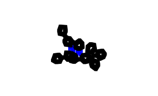 c1ccc(-c2cccc(-n3c4ccc(-c5ccccc5)cc4c4cccc(-n5c6ccccc6c6ccc([Si](c7ccccc7)(c7ccccc7)c7ccccc7)cc65)c43)c2)cc1